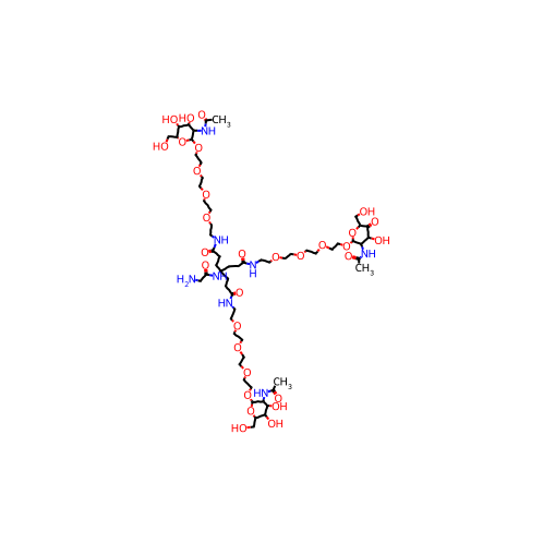 CC(=O)NC1C(OCCOCCOCCOCCNC(=O)CCC(CCC(=O)NCCOCCOCCOCCOC2OC(CO)C(O)C(O)C2NC(C)=O)(CCC(=O)NCCOCCOCCOCCOC2OC(CO)C(O)C(O)C2NC(C)=O)NC(=O)CN)OC(CO)C(=O)C1O